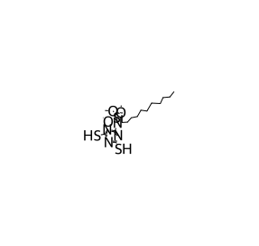 CCCCCCCCCCN(c1nc(S)nc(S)n1)[Si](OC)(OC)OC